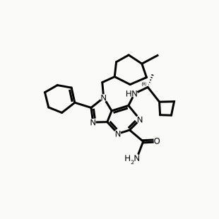 CC1CCC(Cn2c(C3=CCCCC3)nc3nc(C(N)=O)nc(N[C@H](C)C4CCC4)c32)CC1